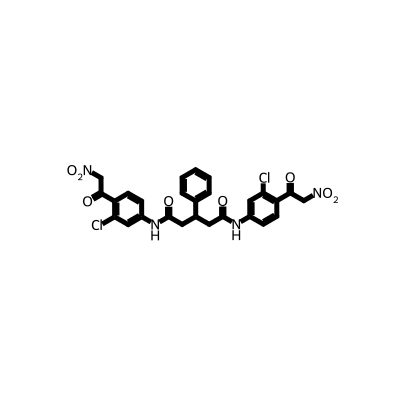 O=C(CC(CC(=O)Nc1ccc(C(=O)C[N+](=O)[O-])c(Cl)c1)c1ccccc1)Nc1ccc(C(=O)C[N+](=O)[O-])c(Cl)c1